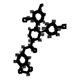 Cc1ccc(N2CCN(C(=O)Cc3ccc4c(c3)OCO4)C[C@H]2c2ccc(Cl)cc2)c(Cl)c1